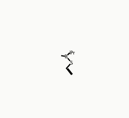 C=CSB(C)C(C)C